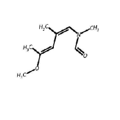 CO/C(C)=C/C(C)=C\N(C)C=O